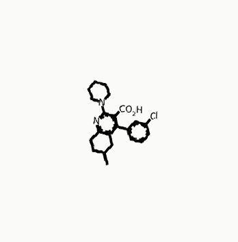 CC1CCc2nc(N3CCCCC3)c(C(=O)O)c(-c3cccc(Cl)c3)c2C1